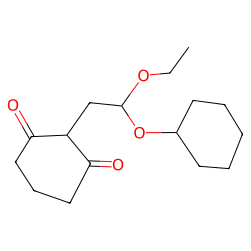 CCOC(CC1C(=O)CCCC1=O)OC1CCCCC1